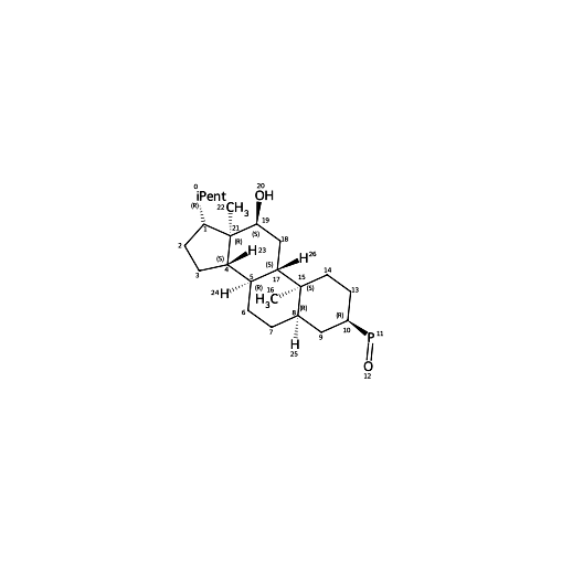 CCC[C@@H](C)C1CC[C@H]2[C@@H]3CC[C@@H]4C[C@H](P=O)CC[C@]4(C)[C@H]3C[C@H](O)[C@]12C